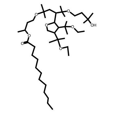 CCCCCCCCCCCC(=O)OC(C)CCOC(C)(C)CC(C1OCC(C(C)(C)OCC)C1C(C)(C)OCC)C(C)(C)OCCC(C)(C)O